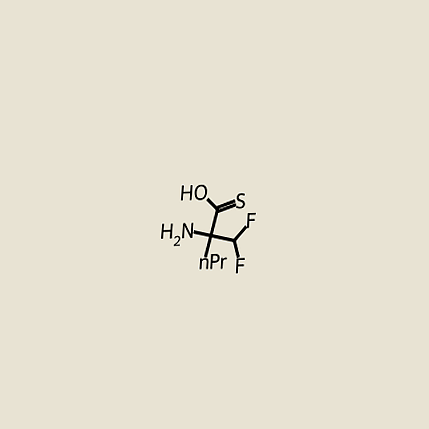 CCCC(N)(C(O)=S)C(F)F